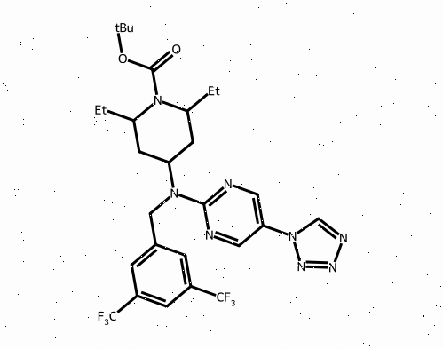 CCC1CC(N(Cc2cc(C(F)(F)F)cc(C(F)(F)F)c2)c2ncc(-n3cnnn3)cn2)CC(CC)N1C(=O)OC(C)(C)C